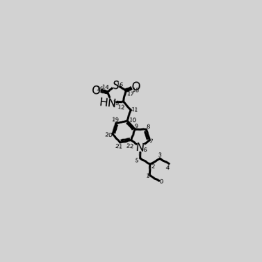 CCC(CC)Cn1ccc2c(CC3NC(=O)SC3=O)cccc21